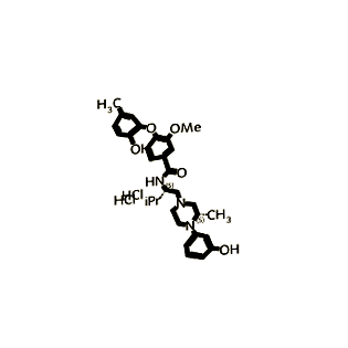 COc1cc(C(=O)N[C@H](CN2CCN(c3cccc(O)c3)[C@@H](C)C2)C(C)C)ccc1Oc1cc(C)ccc1O.Cl.Cl